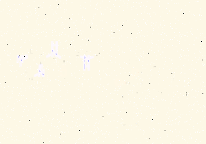 C=CC1C[C@H](OC(=O)C2(c3cccc(F)c3)CCCCCC2)C1CCNCC(=O)Nc1cnccn1